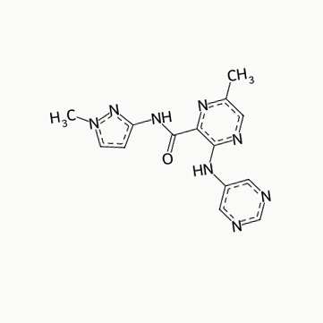 Cc1cnc(Nc2cncnc2)c(C(=O)Nc2ccn(C)n2)n1